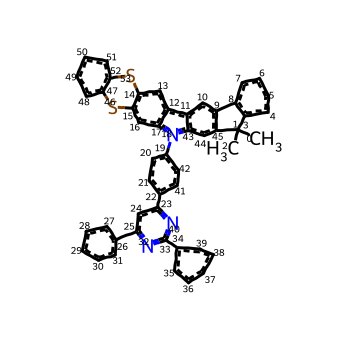 CC1(C)c2ccccc2-c2cc3c4cc5c(cc4n(-c4ccc(-c6cc(-c7ccccc7)nc(-c7ccccc7)n6)cc4)c3cc21)Sc1ccccc1S5